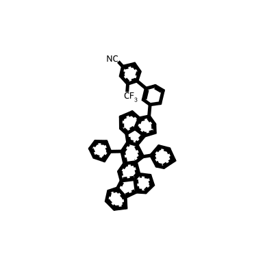 N#Cc1ccc(C2=CC(c3ccc4c5c(-c6ccccc6)c6c(cc7c8ccccc8c8cccc6c87)c(-c6ccccc6)c5c5cccc3c54)CC=C2)c(C(F)(F)F)c1